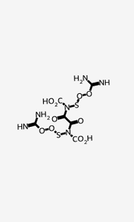 N=C(N)OOSN(C(=O)O)C(=O)C(=O)N(SOOC(=N)N)C(=O)O